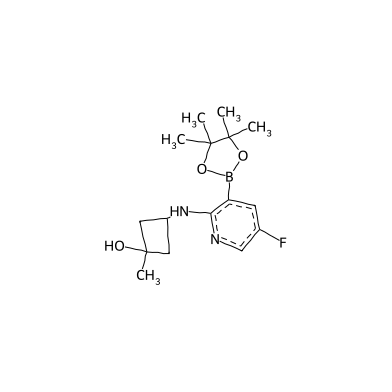 CC1(O)CC(Nc2ncc(F)cc2B2OC(C)(C)C(C)(C)O2)C1